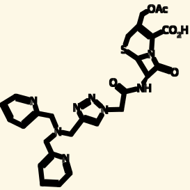 CC(=O)OCC1=C(C(=O)O)N2C(=O)[C@@H](NC(=O)Cn3cc(CN(Cc4ccccn4)Cc4ccccn4)nn3)C2SC1